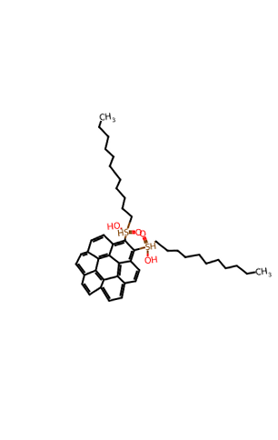 CCCCCCCCCCC[SH](=O)(O)c1c([SH](=O)(O)CCCCCCCCCCC)c2ccc3ccc4ccc5ccc6ccc1c1c6c5c4c3c21